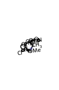 CO[C@H]1/C=C/C[C@H](C)CS(=O)(NC(=O)N2CC(Oc3cccnc3)C2)=NC(=O)c2ccc3c(c2)N(Cc2ccc(Cl)cc2CCCCO3)C[C@@H]2CC[C@H]21